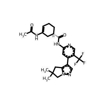 CC(=O)NC1=CCC[C@H](C(=O)Nc2cc(-c3cnn4c3CC(C)(C)C4)c(C(F)(F)F)cn2)C1